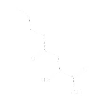 CCCCC(=O)CC(O)C(=O)O